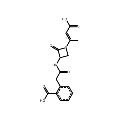 C/C(=C\C(=O)O)N1CC(NC(=O)Cc2ccccc2C(=O)O)C1=O